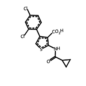 O=C(O)c1c(-c2ccc(Cl)cc2Cl)csc1NC(=O)C1CC1